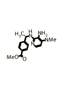 CNc1ccnc(N[C@@H](C)c2ccc(C(=O)OC)cc2)c1N